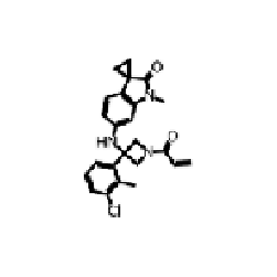 C=CC(=O)N1CC(Nc2ccc3c(c2)N(C)C(=O)C32CC2)(c2cccc(Cl)c2C)C1